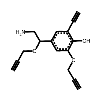 C#CCOc1cc(C(CN)OCC#C)cc(C#C)c1O